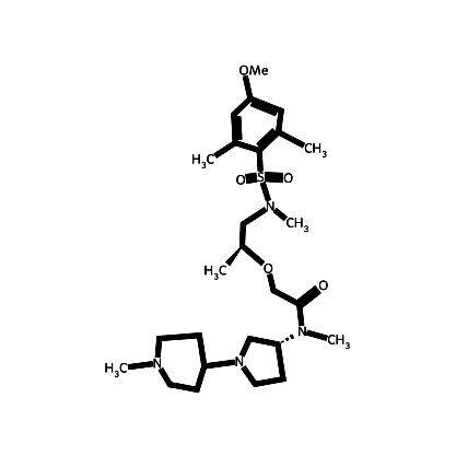 COc1cc(C)c(S(=O)(=O)N(C)C[C@H](C)OCC(=O)N(C)[C@@H]2CCN(C3CCN(C)CC3)C2)c(C)c1